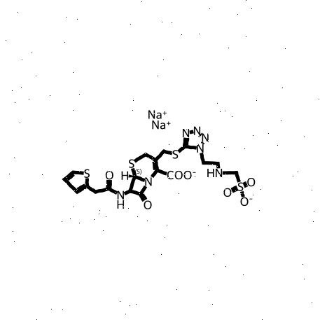 O=C(Cc1cccs1)NC1C(=O)N2C(C(=O)[O-])=C(CSc3nnnn3CCNCS(=O)(=O)[O-])CS[C@@H]12.[Na+].[Na+]